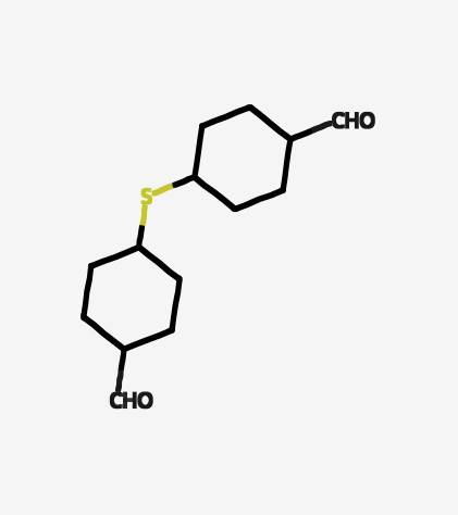 O=CC1CCC(SC2CCC(C=O)CC2)CC1